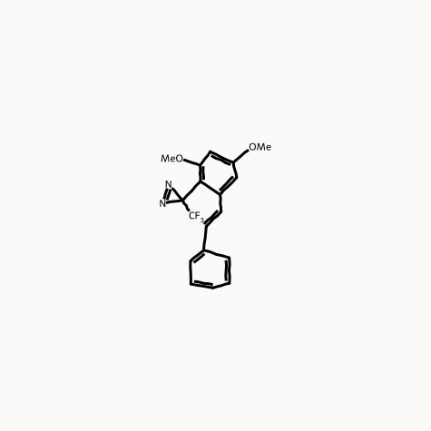 COc1cc(C=Cc2ccccc2)c(C2(C(F)(F)F)N=N2)c(OC)c1